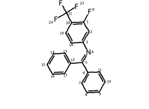 Fc1cc(N=C(c2ccccc2)c2ccccc2)ccc1C(F)(F)F